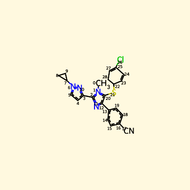 Cn1c(-c2ccn(C3CC3)n2)nc(-c2ccc(C#N)cc2)c1SC1C=CC(Cl)=CC1